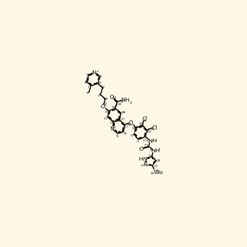 Cc1ccncc1CCCOc1cc2nccc(Oc3ccc(NC(=O)Nc4cc(C(C)(C)C)n[nH]4)c(Cl)c3Cl)c2cc1C(N)=O